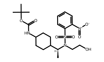 C[C@@H](C1CCC(NC(=O)OC(C)(C)C)CC1)N(CCO)S(=O)(=O)c1ccccc1[N+](=O)[O-]